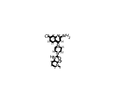 Cn1cccc(NC(=O)N2CCN(c3cc(N)nc4cc(Cl)ccc34)CC2)c1=O